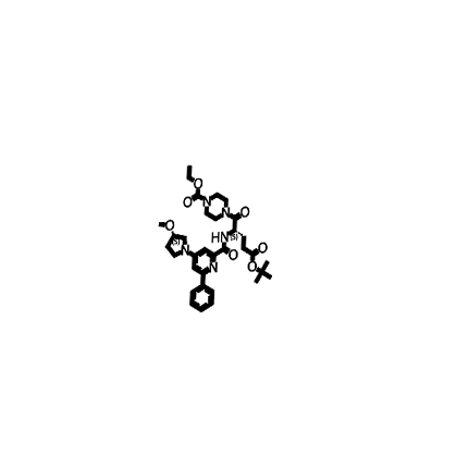 CCOC(=O)N1CCN(C(=O)[C@H](CCC(=O)OC(C)(C)C)NC(=O)c2cc(N3CC[C@H](OC)C3)cc(-c3ccccc3)n2)CC1